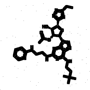 CCn1nnc([C@H]2O[C@@H](n3cnc4c(NCCC(C)(C)C)nc(NCCNc5ccccn5)nc43)[C@H](OC(C)=O)[C@@H]2O)n1